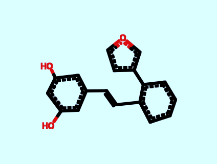 Oc1cc(O)cc(/C=C/c2ccccc2-c2ccoc2)c1